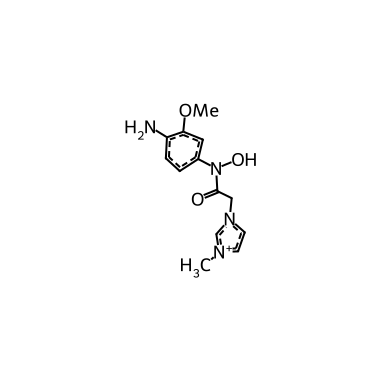 COc1cc(N(O)C(=O)Cn2cc[n+](C)c2)ccc1N